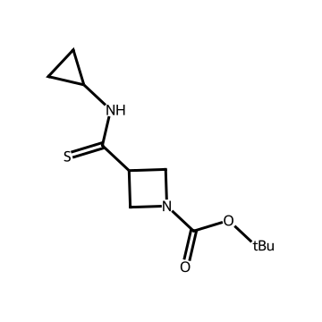 CC(C)(C)OC(=O)N1CC(C(=S)NC2CC2)C1